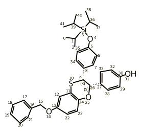 CC(C)[Si](Oc1ccc([C@H]2Sc3cc(OCc4ccccc4)ccc3O[C@H]2c2ccc(O)cc2)cc1)(C(C)C)C(C)C